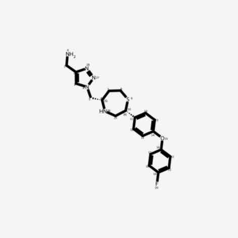 NCc1cn(C[C@@H]2CCS[C@H](c3ccc(Oc4ccc(F)cc4)cc3)CN2)nn1